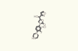 Cl.O=C1OC(C(O)c2ccon2)CN1c1ccc(N2CCNCC2)c(F)c1